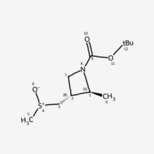 C[C@H]1[C@H](C[S+](C)[O-])CN1C(=O)OC(C)(C)C